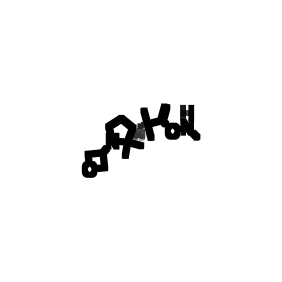 C=C(ONC)C(C)(C)[C@H]1CCN(C2COC2)C1(C)C